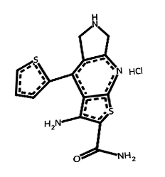 Cl.NC(=O)c1sc2nc3c(c(-c4cccs4)c2c1N)CNC3